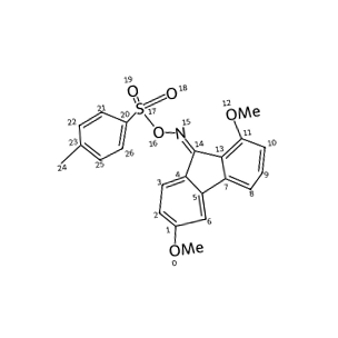 COc1ccc2c(c1)-c1cccc(OC)c1C2=NOS(=O)(=O)c1ccc(C)cc1